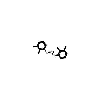 Cc1cccc(OPOc2cccc(C)c2C)c1C